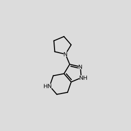 C1CCN(c2n[nH]c3c2CNCC3)C1